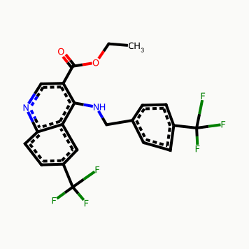 CCOC(=O)c1cnc2ccc(C(F)(F)F)cc2c1NCc1ccc(C(F)(F)F)cc1